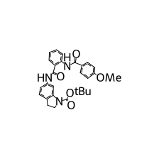 COc1ccc(C(=O)Nc2ccccc2C(=O)Nc2ccc3c(c2)N(C(=O)OC(C)(C)C)CC3)cc1